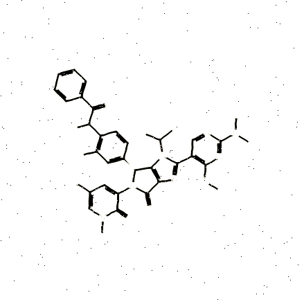 COc1nc(N(C)C)ncc1-c1nc2c(n1C(C)C)[C@H](c1ccc(C(O)C(=O)c3ccccc3)c(F)c1)N(c1cc(Cl)cn(C)c1=O)C2=O